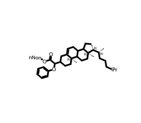 CCCCCCCCCOC(=O)C(Oc1ccccc1)C1CC[C@@]2(C)C(=CCC3C2CC[C@@]2(C)C3CC[C@@H]2[C@H](C)CCCC(C)C)C1